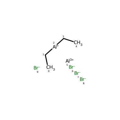 C[CH2][Al+][CH2]C.[Al+3].[Br-].[Br-].[Br-].[Br-]